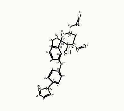 O=NC[C@@H]1C[C@H](N=O)[C@@H](O)[C@@]2(OCc3ccc(Cc4ccc(-n5cccn5)cc4)cc32)O1